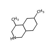 CC1CCC2CNCC(C)C2C1